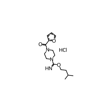 CC(C)CCOC(=N)N1CCN(C(=O)c2ccco2)CC1.Cl